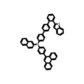 c1ccc(-c2cc3ccccc3o2)c(-c2ccc(-c3ccc(N(c4ccc(-c5cc6ccccc6c6ccccc56)cc4)c4ccc5ccccc5c4)cc3)cc2)c1